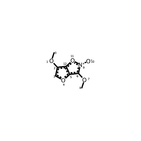 COc1coc2c(OC)[n+]([O-])oc12